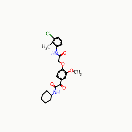 COc1cc(C(=O)C(=O)NC2CCCCC2)ccc1OCC(=O)Nc1cccc(Cl)c1C